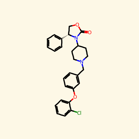 O=C1OC[C@@H](c2ccccc2)N1C1CCN(Cc2cccc(Oc3ccccc3Cl)c2)CC1